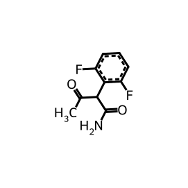 CC(=O)C(C(N)=O)c1c(F)cccc1F